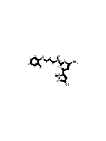 CCc1cc(-c2cc(N)nc(N(C)CCCOc3ccccc3C)n2)n(C)n1